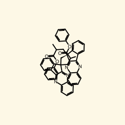 CC(CC1(C[C@@]2(CC(C)C(=O)Oc3ccccc3)c3ccccc3-c3nc4ccccc4nc32)c2ccccc2-c2nc3ccccc3nc21)C(=O)Oc1ccccc1